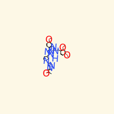 COc1ccc(CNc2nc3cc(OC)ccc3c3nc(C4CCCN(c5cnn(C(C)(C)C(C)=O)c5)C4)nn23)c(OC)c1